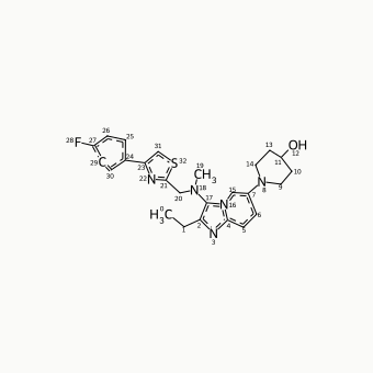 CCc1nc2ccc(N3CCC(O)CC3)cn2c1N(C)Cc1nc(-c2ccc(F)cc2)cs1